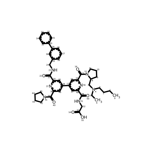 CCCCN(CC)CC1CCCN1C(=O)c1cc(-c2cc(C(=O)NCc3cccc(-c4ccccc4)c3)nc(C(=O)N3CCCC3)c2)cc(C(=O)NCC(=O)O)n1